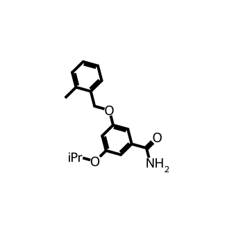 Cc1ccccc1COc1cc(OC(C)C)cc(C(N)=O)c1